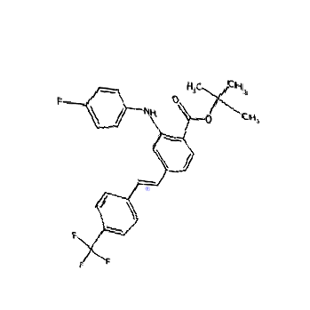 CC(C)(C)OC(=O)c1ccc(/C=C/c2ccc(C(F)(F)F)cc2)cc1Nc1ccc(F)cc1